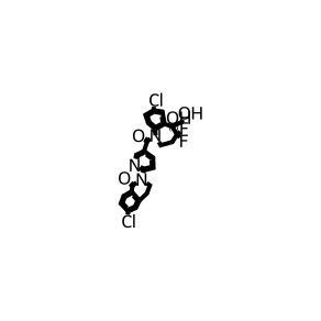 O=C1c2ccc(Cl)cc2CCN1c1ccc(C(=O)N2CCC(F)(F)[C@](O)(CO)c3cc(Cl)ccc32)cn1